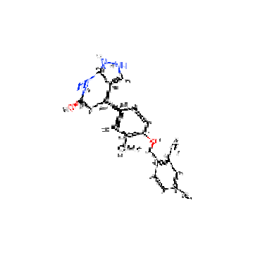 CCc1ccc(COc2ccc(C3CC(=O)Nc4n[nH]cc43)cc2OC)c(C(F)(F)F)c1